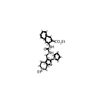 CCOC(=O)c1cc2ccccc2cc1NC(=O)NCc1c(-n2cccc2)sc2c1CCN(CC)C2